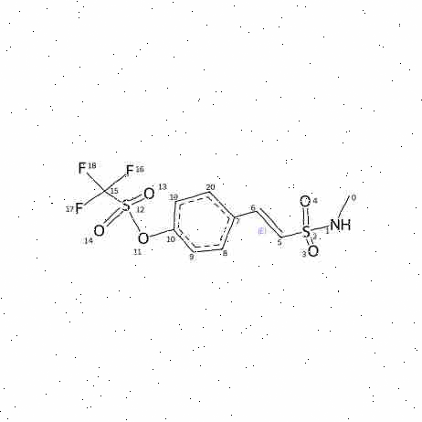 CNS(=O)(=O)/C=C/c1ccc(OS(=O)(=O)C(F)(F)F)cc1